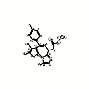 Cc1ccc(C2=N[C@H](CC(=O)OC(C)(C)C)c3ncc(C)n3-c3sc(C)c(C)c32)cc1